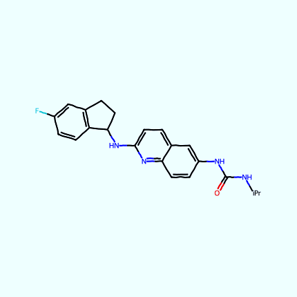 CC(C)NC(=O)Nc1ccc2nc(NC3CCc4cc(F)ccc43)ccc2c1